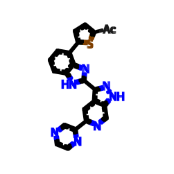 CC(=O)c1ccc(-c2cccc3[nH]c(-c4n[nH]c5cnc(-c6cnccn6)cc45)nc23)s1